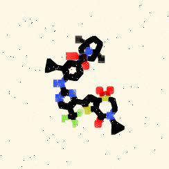 O=C1c2sc(-c3nc(Nc4ccc(N5C[C@H]6CC[C@@H](C5)N6C(=O)O)cc4C4CC4)ncc3C(F)(F)F)cc2S(=O)(=O)CCN1C1CC1